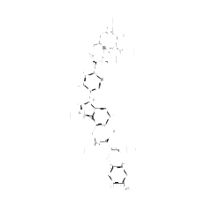 CCN(Cc1cccc2c(-c3ccc(C(=O)NN4C(C)CNCC4C)cc3)c[nH]c12)C(=O)C(C=O)Cc1ccc(O)cc1